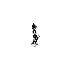 CC1CC2CN(C3CCN(c4ccc5c(c4)C(=O)C=C(CC4CCC(=O)NC4=O)C5=O)CC3)C[C@@H]2C1